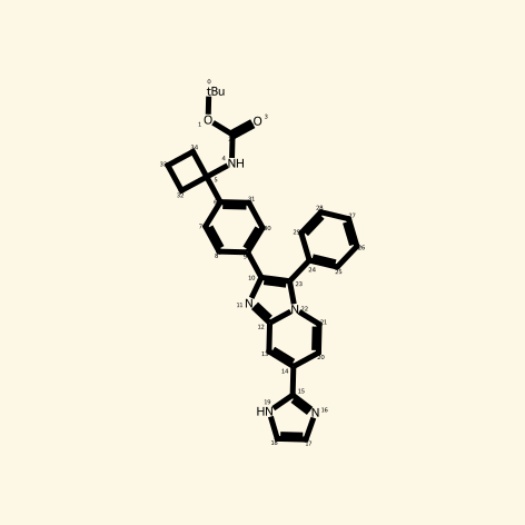 CC(C)(C)OC(=O)NC1(c2ccc(-c3nc4cc(-c5ncc[nH]5)ccn4c3-c3ccccc3)cc2)CCC1